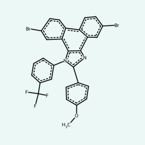 COc1ccc(-c2nc3c4cc(Br)ccc4c4ccc(Br)cc4c3n2-c2cccc(C(F)(F)F)c2)cc1